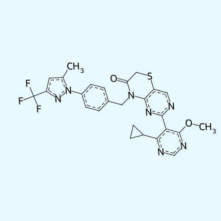 COc1ncnc(C2CC2)c1-c1ncc2c(n1)N(Cc1ccc(-n3nc(C(F)(F)F)cc3C)cc1)C(=O)CS2